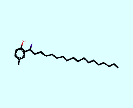 CCCCCCCCCCCCCCCCCC(I)c1cc(C)ccc1O